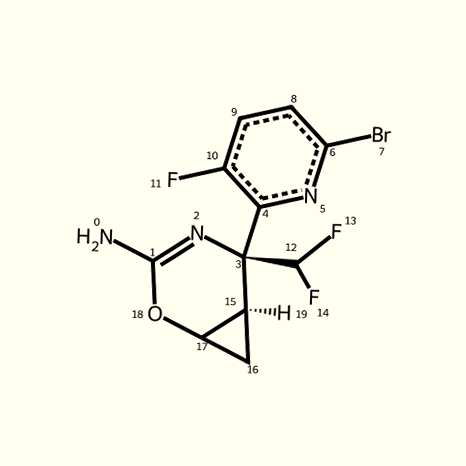 NC1=N[C@@](c2nc(Br)ccc2F)(C(F)F)[C@H]2CC2O1